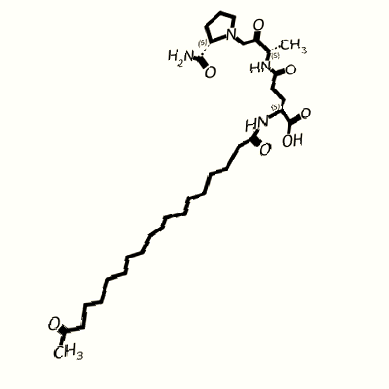 CC(=O)CCCCCCCCCCCCCCCCC(=O)N[C@@H](CCC(=O)N[C@@H](C)C(=O)CN1CCC[C@H]1C(N)=O)C(=O)O